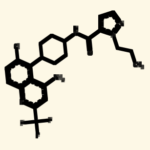 CCCn1nccc1C(=O)NC1CCC(c2c(Cl)ccc3nc(C(F)(F)F)cc(N)c23)CC1